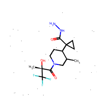 CC1CN(C(=O)[C@@](C)(O)C(F)(F)F)CCC1C1(C(=O)NN)CC1